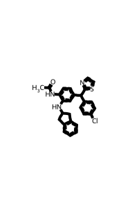 CC(=O)Nc1ccc(C(c2ccc(Cl)cc2)c2nccs2)cc1NC1Cc2ccccc2C1